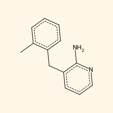 Cc1ccccc1Cc1cccnc1N